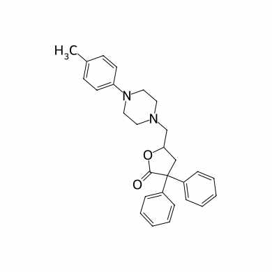 Cc1ccc(N2CCN(CC3CC(c4ccccc4)(c4ccccc4)C(=O)O3)CC2)cc1